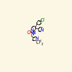 O=c1n(Cc2ccc(C(F)(F)F)nc2)nc2c(-c3ccncc3)c(-c3ccc(Cl)cc3)ccn12